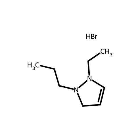 Br.CCCN1CC=CN1CC